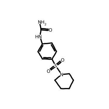 NC(=O)Nc1ccc(S(=O)(=O)N2CCCCC2)cc1